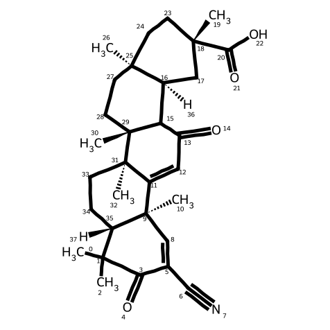 CC1(C)C(=O)C(C#N)=C[C@]2(C)C3=CC(=O)C4[C@@H]5C[C@@](C)(C(=O)O)CC[C@]5(C)CC[C@@]4(C)[C@]3(C)CC[C@@H]12